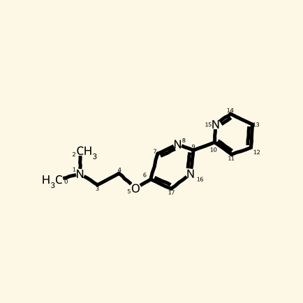 CN(C)CCOc1cnc(-c2ccccn2)nc1